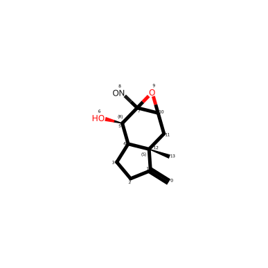 C=C1CCC2[C@@H](O)C3(N=O)OC3C[C@]12C